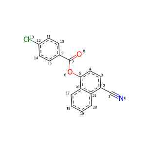 N#Cc1ccc(OC(=O)c2ccc(Cl)cc2)c2ccccc12